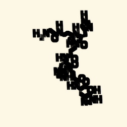 NCC(=O)NCCC(=O)N[C@@H](Cc1c[nH]cn1)C(=O)NCCC(=O)N[C@@H](Cc1c[nH]cn1)C(=O)NCCC(=O)N[C@@H](Cc1c[nH]cn1)C(=O)O